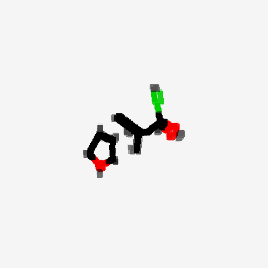 C1CCOC1.C=C(C)C(=O)Cl